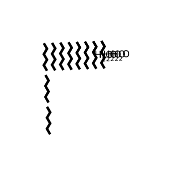 CCCCCC.CCCCCC.CCCCCC.CCCCCC.CCCCCC.CCCCCC.CCCCCC.CCCCCC.CCCCCC.CCCCCC.O.O.O.O.O